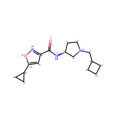 O=C(N[C@H]1CCN(CC2CCC2)C1)c1cc(C2CC2)on1